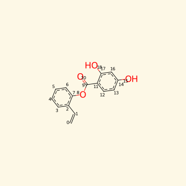 C=Cc1ccccc1OC(=O)c1ccc(O)cc1O